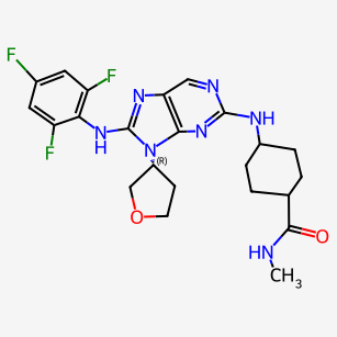 CNC(=O)C1CCC(Nc2ncc3nc(Nc4c(F)cc(F)cc4F)n([C@@H]4CCOC4)c3n2)CC1